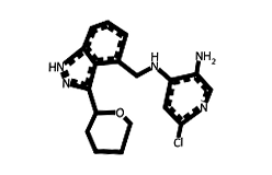 Nc1cnc(Cl)cc1NCc1cccc2[nH]nc(C3CCCCO3)c12